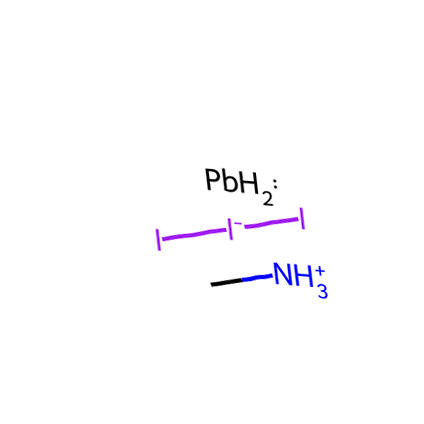 C[NH3+].I[I-]I.[PbH2]